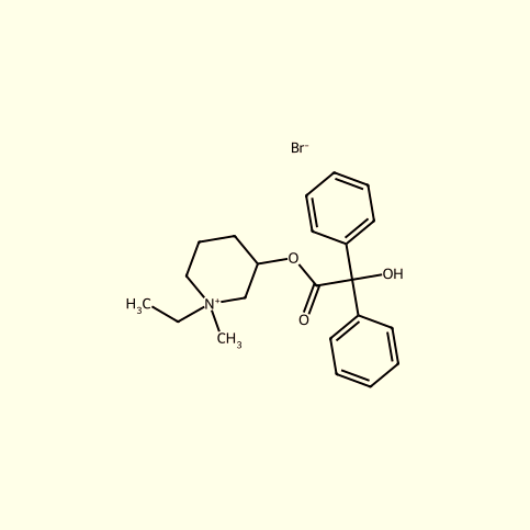 CC[N+]1(C)CCCC(OC(=O)C(O)(c2ccccc2)c2ccccc2)C1.[Br-]